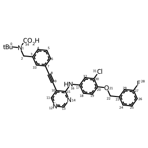 CC(C)(C)N(Cc1cccc(C#Cc2cncnc2Nc2ccc(OCc3cccc(F)c3)c(Cl)c2)c1)C(=O)O